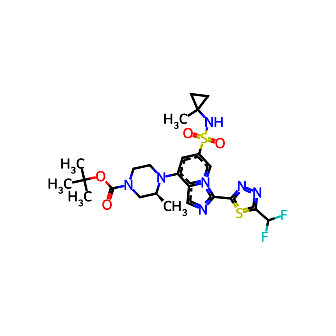 C[C@H]1CN(C(=O)OC(C)(C)C)CCN1c1cc(S(=O)(=O)NC2(C)CC2)cn2c(-c3nnc(C(F)F)s3)ncc12